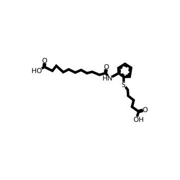 O=C(O)CCCCCCCCCC(=O)Nc1ccccc1SCCCCC(=O)O